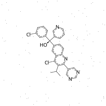 CC(C)c1c(-c2cncnc2)nc2ccc([C@@](O)(c3cccnc3)c3cccc(Cl)c3)cc2c1Cl